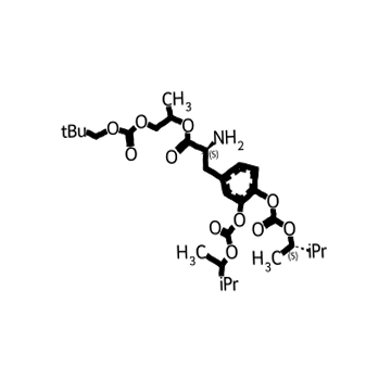 CC(COC(=O)OCC(C)(C)C)OC(=O)[C@@H](N)Cc1ccc(OC(=O)O[C@@H](C)C(C)C)c(OC(=O)OC(C)C(C)C)c1